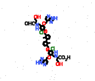 Cc1c(COc2cc(OCc3ccnc4[nH]cnc34)c(CNC(C=O)CCO)cc2Cl)cccc1-c1cccc(COc2cc(OCc3ccnc4[nH]cnc34)c(CNC(CCO)C(=O)O)cc2Cl)c1C